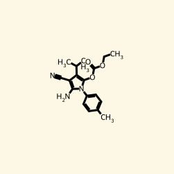 CCOC(=O)Oc1c(C(C)C)c(C#N)c(N)n1-c1ccc(C)cc1